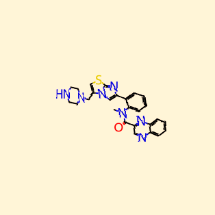 CN(C(=O)c1cnc2ccccc2n1)c1ccccc1-c1cn2c(CN3CCNCC3)csc2n1